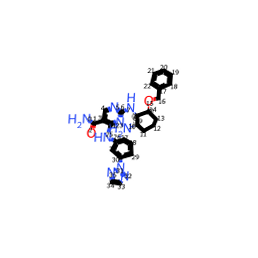 NC(=O)c1cnc(N[C@H]2[C@@H](N)CCC[C@H]2OCc2ccccc2)nc1Nc1cccc(-n2nccn2)c1